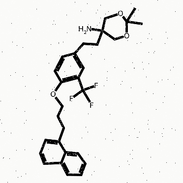 CC1(C)OCC(N)(CCc2ccc(OCCCc3cccc4ccccc34)c(C(F)(F)F)c2)CO1